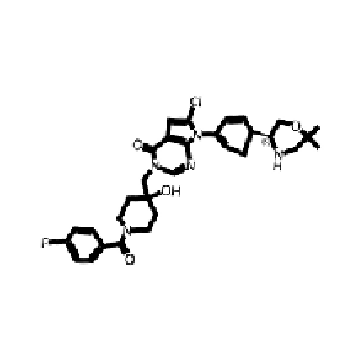 CC1(C)CN[C@@H](C2C=CC(n3c(Cl)cc4c(=O)n(CC5(O)CCN(C(=O)c6ccc(F)cc6)CC5)cnc43)=CC2)CO1